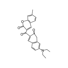 CCN(CC)c1ccc2c(c1)CC(=O)C(C(=O)c1cc3ccc(C)cc3oc1=O)=C2